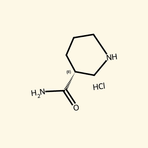 Cl.NC(=O)[C@@H]1CCCNC1